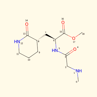 CNCC(=O)N[C@@H](C[C@@H]1CCCNC1=O)C(=O)OC